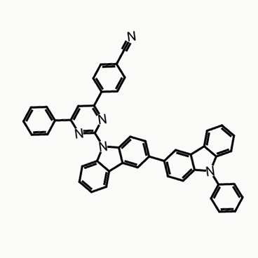 N#Cc1ccc(-c2cc(-c3ccccc3)nc(-n3c4ccccc4c4cc(-c5ccc6c(c5)c5ccccc5n6-c5ccccc5)ccc43)n2)cc1